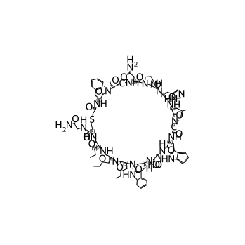 CCCC[C@H]1C(=O)N(C)[C@@H](CCCC)C(=O)N[C@@H]([C@@H](C)CC)C(=O)N[C@H](C(=O)NCC(N)=O)CSCC(=O)N[C@@H](Cc2ccccc2)C(=O)N(C)[C@@H](C)C(=O)CN[C@@H](CC(N)=O)C(=O)N2CCC[C@H]2C(=O)N[C@@H](Cc2cnc[nH]2)C(=O)N[C@@H](CC(C)C)C(=O)N(C)CC(=O)N[C@@H](Cc2c[nH]c3ccccc23)C(=O)N[C@@H](CO)C(=O)N[C@@H](Cc2c[nH]c3ccccc23)C(=O)N1C